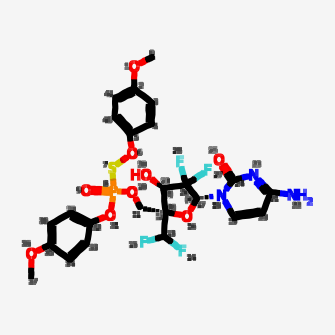 COc1ccc(OSP(=O)(OC[C@@]2(C(F)F)O[C@@H](n3ccc(N)nc3=O)C(F)(F)[C@@H]2O)Oc2ccc(OC)cc2)cc1